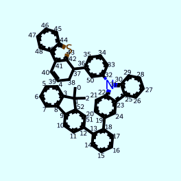 CC1(C)c2ccccc2-c2ccc(-c3ccccc3-c3ccc4c(c3)c3ccccc3n4-c3cccc(C4CC=Cc5c4sc4ccccc54)c3)cc21